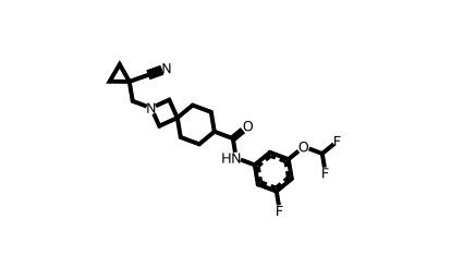 N#CC1(CN2CC3(CCC(C(=O)Nc4cc(F)cc(OC(F)F)c4)CC3)C2)CC1